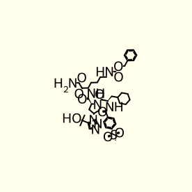 CC(C)(O)c1cnnn1[C@H]1C[C@@H](C(=O)NC(CCCCNC(=O)OCc2ccccc2)C(=O)C(N)=O)N(C(=O)[C@@H](CC2CCCCC2)NC(=O)c2ccc(S(C)(=O)=O)cc2)C1